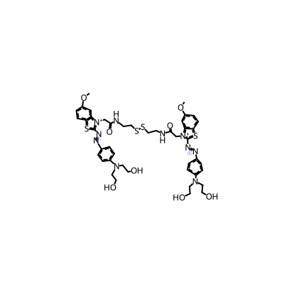 COc1ccc2sc(/N=N/c3ccc(N(CCO)CCO)cc3)[n+](CC(=O)NCCSSCCNC(=O)C[n+]3c(/N=N/c4ccc(N(CCO)CCO)cc4)sc4ccc(OC)cc43)c2c1